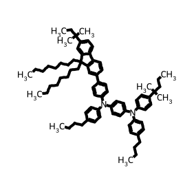 CCCCCCCCC1(CCCCCCCC)c2cc(-c3ccc(N(c4ccc(CCCC)cc4)c4ccc(N(c5ccc(CCCC)cc5)c5ccc(C(C)(C)CCC)cc5)cc4)cc3)ccc2-c2ccc(C(C)(C)CC)cc21